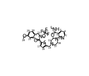 CNC(=O)c1cccnc1N1CCN(Cc2ccc(C(=O)N(Cc3ccc(OC)cc3)OC(F)(F)F)s2)CC1